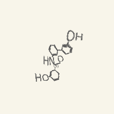 OC1=CC([C@H]2COc3c(cccc3-c3cccc(O)c3)N2)CC=C1